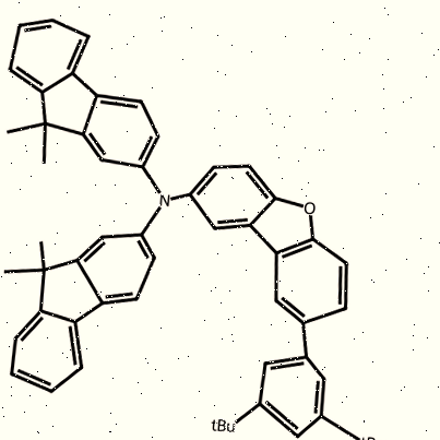 CC(C)(C)c1cc(-c2ccc3oc4ccc(N(c5ccc6c(c5)C(C)(C)c5ccccc5-6)c5ccc6c(c5)C(C)(C)c5ccccc5-6)cc4c3c2)cc(C(C)(C)C)c1